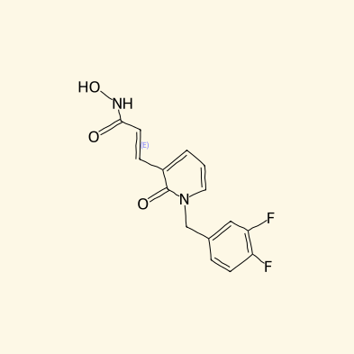 O=C(/C=C/c1cccn(Cc2ccc(F)c(F)c2)c1=O)NO